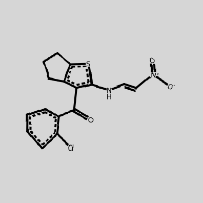 O=C(c1ccccc1Cl)c1c(NC=C[N+](=O)[O-])sc2c1CCC2